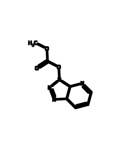 COC(=O)ON1N=NC2C=CC=NC21